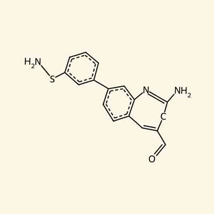 NSc1cccc(-c2ccc3c(c2)N=C(N)CC(C=O)=C3)c1